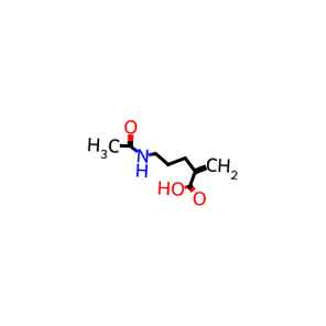 C=C(CCCNC(C)=O)C(=O)O